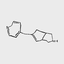 C1=C(c2ccncc2)CC2CNCC12